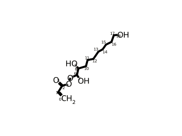 C=CC(=O)OOC(O)C(O)CCCCCCCCO